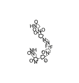 CNC(=O)N1CCc2c(-c3cc(OC)c(CN4CCC(C(F)(F)CN5CCN(c6ccc7c(c6)C(=O)N(C6CCC(=O)NC6=O)C7=O)CC5)CC4)c(OC)c3)cn(C)c(=O)c2C1